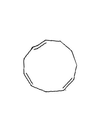 [C]1=CCCCC=CCC=CC1